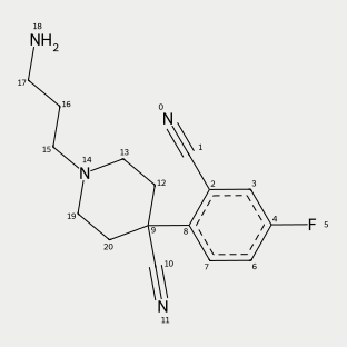 N#Cc1cc(F)ccc1C1(C#N)CCN(CCCN)CC1